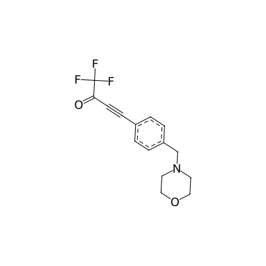 O=C(C#Cc1ccc(CN2CCOCC2)cc1)C(F)(F)F